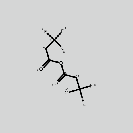 O=C(CC(F)(F)Cl)OC(=O)CC(F)(F)Cl